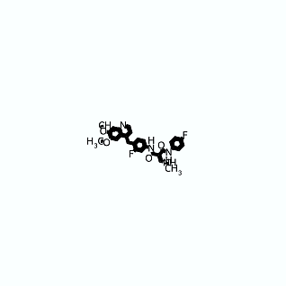 CN/C=C(\C(=O)Nc1ccc(F)cc1)C(=O)Nc1ccc(Cc2ccnc3cc(OC)c(OC)cc23)c(F)c1